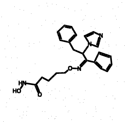 O=C(CCCCON=C(c1ccccc1)C(Cc1ccccc1)n1ccnc1)NO